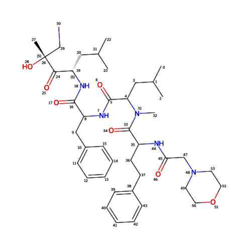 CC(C)CC(C(=O)NC(Cc1ccccc1)C(=O)N[C@@H](CC(C)C)C(=O)[C@](C)(O)CI)N(C)C(=O)C(CCc1ccccc1)NC(=O)CN1CCOCC1